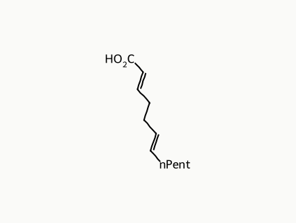 CCCCCC=CCC/C=C/C(=O)O